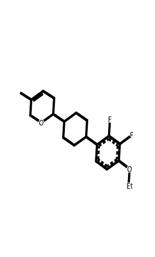 CCOc1ccc(C2CCC(C3CC=C(C)CO3)CC2)c(F)c1F